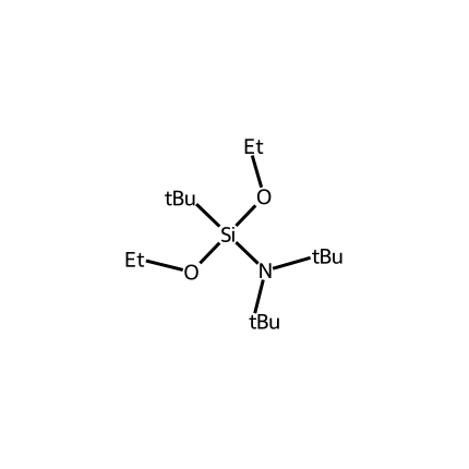 CCO[Si](OCC)(N(C(C)(C)C)C(C)(C)C)C(C)(C)C